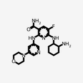 NC(=O)c1cc(F)c(NC2CCCCC2N)nc1Nc1cncc(N2CCOCC2)c1